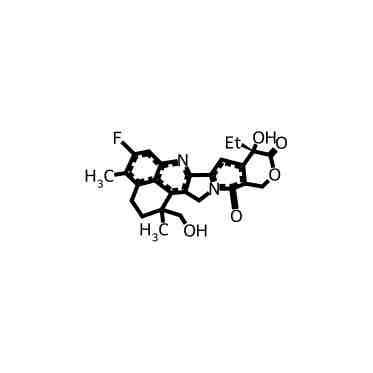 CC[C@@]1(O)C(=O)OCc2c1cc1n(c2=O)Cc2c-1nc1cc(F)c(C)c3c1c2C(C)(CO)CC3